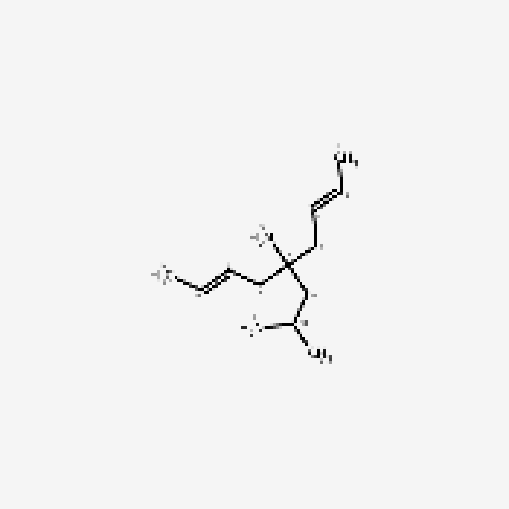 CC=CCC(N)(CC=CC)CC(C)N